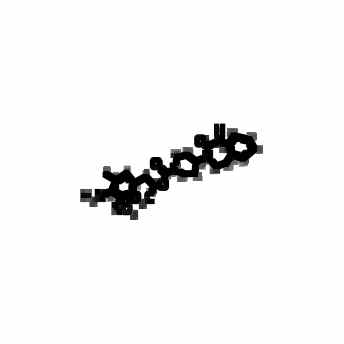 Cc1cc(CC(OC(=O)N2CCC(N3CCc4ccccc4NC3=O)CC2)C(=O)O)cc([N+](=O)[O-])c1N